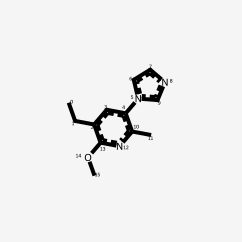 CCc1cc(-n2ccnc2)c(C)nc1OC